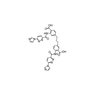 O=C(Nc1cc(CCCc2ccc(NC(=O)c3ccc(-n4ccnc4)nn3)c(C(=O)O)c2)ccc1C(=O)O)c1ccc(-n2ccnc2)nn1